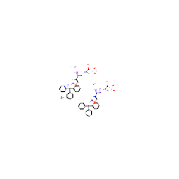 CC(C)(O/N=C(\C(=O)NC1CN(S(=O)(=O)[O-])C1=O)c1csc(NC(c2ccccc2)(c2ccccc2)c2ccccc2)n1)C(=O)O.CC(C)(O/N=C(\C(=O)NC1CN(S(=O)(=O)[O-])C1=O)c1csc(NC(c2ccccc2)(c2ccccc2)c2ccccc2)n1)C(=O)O.[Na+].[Na+]